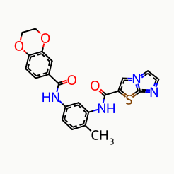 Cc1ccc(NC(=O)c2ccc3c(c2)OCCO3)cc1NC(=O)c1cn2ccnc2s1